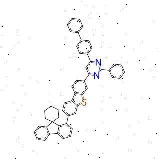 c1ccc(-c2ccc(-c3cc(-c4ccc5c(c4)sc4cc(-c6cccc7c6C6(CCCCC6)c6ccccc6-7)ccc45)nc(-c4ccccc4)n3)cc2)cc1